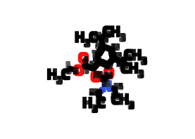 CCOC(=O)Cc1cc(C(C)C)cc(C(C)C)c1OC(=O)N(CC)CC